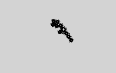 CC1=C(c2ccccc2)/N=C(/c2cccc(-c3cccc4c3-c3ccccc3C4(c3ccccc3)c3ccccc3)c2)CC/C=C\1c1ccc(-c2ccc(-c3ccccc3)cc2)cc1